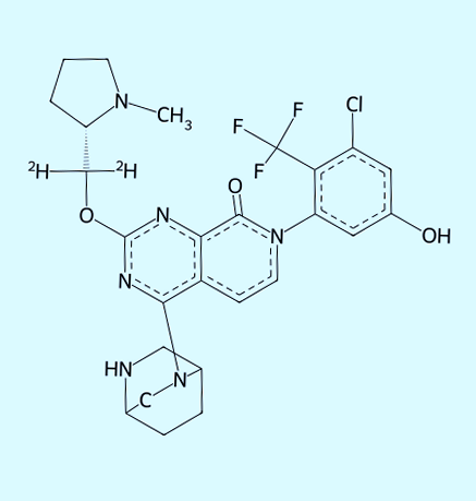 [2H]C([2H])(Oc1nc(N2CC3CCC2CN3)c2ccn(-c3cc(O)cc(Cl)c3C(F)(F)F)c(=O)c2n1)[C@@H]1CCCN1C